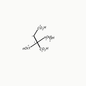 CCCCCCCCC(CCCCCCCC)(CC(=O)O)C(=O)O.[LiH]